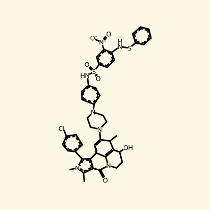 Cc1c2c(c(-c3ccc(Cl)cc3)n1C)C1(C)C=C(N3CCN(c4ccc(NS(=O)(=O)c5ccc(NSc6ccccc6)c([N+](=O)[O-])c5)cc4)CC3)C(C)C3=C1N(CCC3O)C2=O